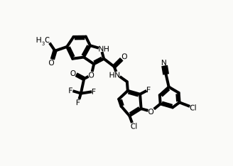 CC(=O)c1ccc2[nH]c(C(=O)NCc3ccc(Cl)c(Oc4cc(Cl)cc(C#N)c4)c3F)c(OC(=O)C(F)(F)F)c2c1